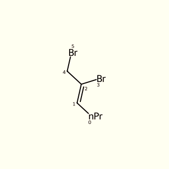 CCCC=C(Br)CBr